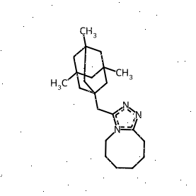 CC12CC3(C)CC(C)(C1)CC(Cc1nnc4n1CCCCCC4)(C2)C3